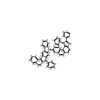 c1ccc(-c2nc3ccc4ccc5cc(-n6c7ccccc7c7cc8c9c%10ccccc%10ccc9n(-c9ccccc9)c8cc76)ccc5c4c3n2-c2ccccc2)cc1